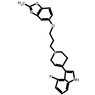 Cc1nc2cc(OCCCN3CC=C(c4c[nH]c5cccc(F)c45)CC3)ccc2s1